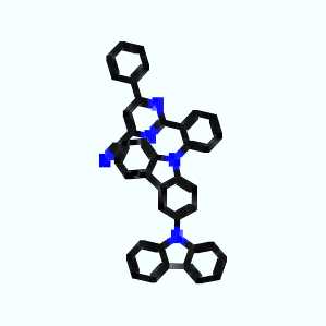 N#Cc1cc(-c2ccccc2)nc(-c2ccccc2-n2c3ccccc3c3cc(-n4c5ccccc5c5ccccc54)ccc32)n1